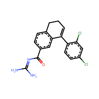 NC(N)=NC(=O)c1ccc2c(c1)C(c1ccc(Cl)cc1Cl)=CCC2